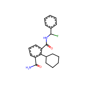 NC(=O)c1cccc(C(=O)NC(F)c2ccccc2)c1C1CCCCC1